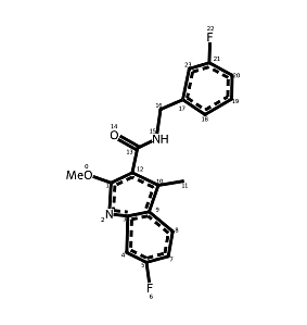 COc1nc2cc(F)ccc2c(C)c1C(=O)NCc1cccc(F)c1